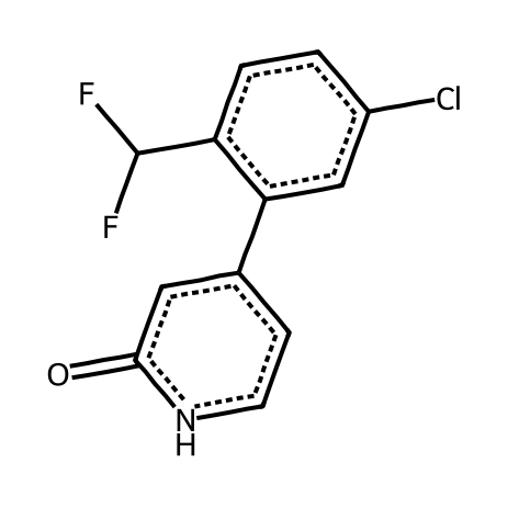 O=c1cc(-c2cc(Cl)ccc2C(F)F)cc[nH]1